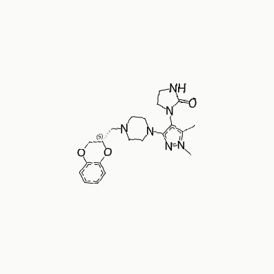 Cc1c(N2CCNC2=O)c(N2CCN(C[C@H]3COc4ccccc4O3)CC2)nn1C